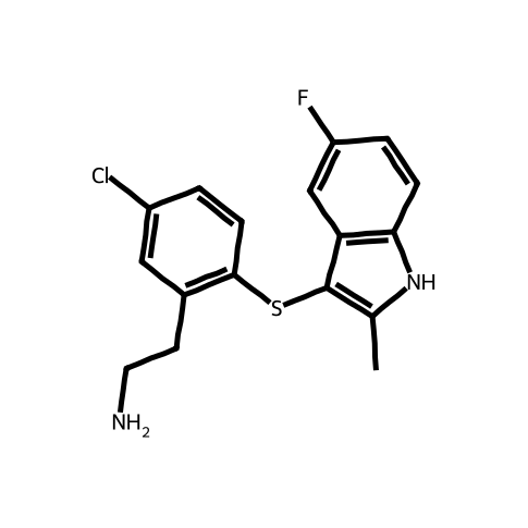 Cc1[nH]c2ccc(F)cc2c1Sc1ccc(Cl)cc1CCN